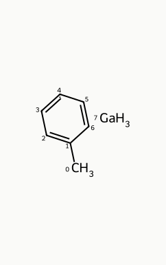 Cc1cc[c]cc1.[GaH3]